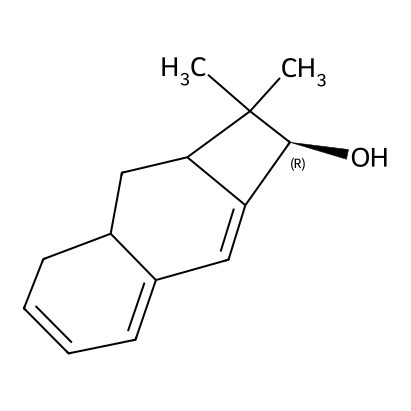 CC1(C)C2CC3CC=CC=C3C=C2[C@@H]1O